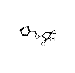 O=C1CC(OCc2ccccc2)C(=O)N1